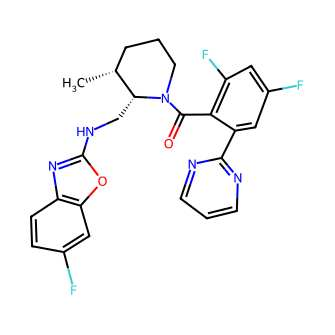 C[C@@H]1CCCN(C(=O)c2c(F)cc(F)cc2-c2ncccn2)[C@@H]1CNc1nc2ccc(F)cc2o1